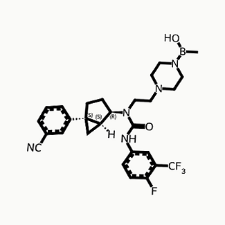 CB(O)N1CCN(CCN(C(=O)Nc2ccc(F)c(C(F)(F)F)c2)[C@@H]2CC[C@]3(c4cccc(C#N)c4)C[C@H]23)CC1